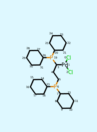 [Cl][Pd]([Cl])[CH](CCP(C1CCCCC1)C1CCCCC1)P(C1CCCCC1)C1CCCCC1